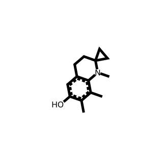 Cc1c(O)cc2c(c1C)N(C)C1(CC2)CC1